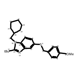 COc1ccc(CSc2ccc3c(c2)nc(C(C)(C)C)n3CC2CCCCC2)cc1